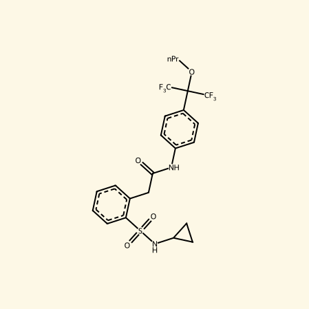 CCCOC(c1ccc(NC(=O)Cc2ccccc2S(=O)(=O)NC2CC2)cc1)(C(F)(F)F)C(F)(F)F